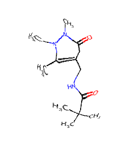 Cc1c(CNC(=O)C(C)(C)C)c(=O)n(C)n1C